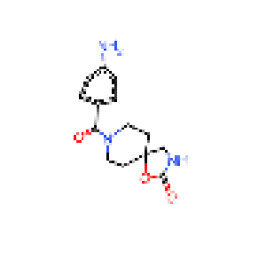 Nc1ccc(C(=O)N2CCC3(CC2)CNC(=O)O3)cc1